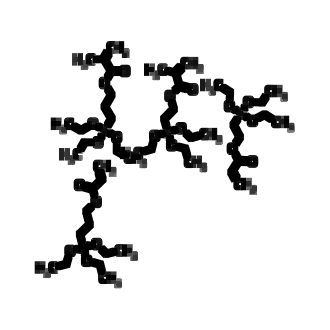 C=C(C)C(=O)OCCC[Si](OCC)(OCC)OCC.C=C(C)C(=O)OCC[Si](OCC)(OCC)OCC.C=CC(=O)OCCC[Si](OCC)(OCC)OCC.C=CC(=O)OCC[Si](OCC)(OCC)OCC